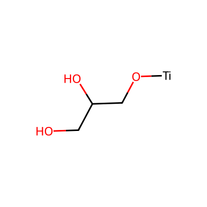 OCC(O)C[O][Ti]